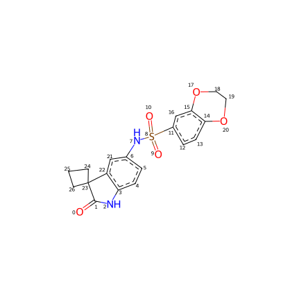 O=C1Nc2ccc(NS(=O)(=O)c3ccc4c(c3)OCCO4)cc2C12CCC2